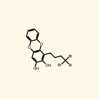 Oc1cc2c(c(CCCC(Br)(Br)Br)c1O)Oc1ccccc1O2